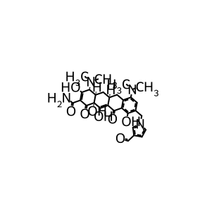 CN(C)c1cc(Cn2ccc(C=O)c2)c(O)c2c1C[C@@H]1C[C@@H]3[C@@H](N(C)C)C(O)=C(C(N)=O)C(=O)[C@]3(O)C(O)=C1C2=O